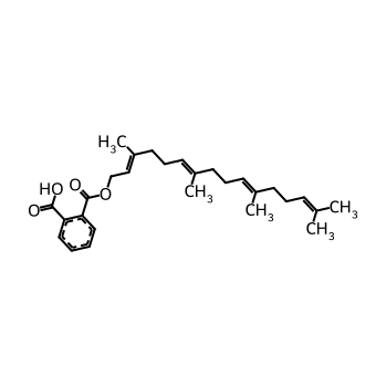 CC(C)=CCC/C(C)=C/CC/C(C)=C/CC/C(C)=C/COC(=O)c1ccccc1C(=O)O